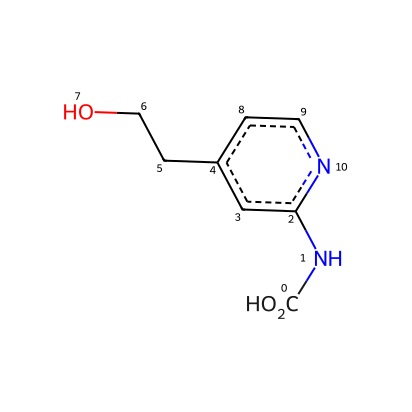 O=C(O)Nc1cc(CCO)ccn1